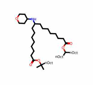 CCCCCCCCC(CCCCCCCC)OC(=O)CCCCCCCC(CCCCCCCC(=O)OC(C)(C)CCCCCCCC)NC1CCOCC1